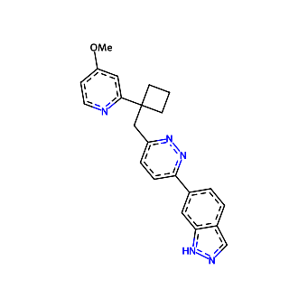 COc1ccnc(C2(Cc3ccc(-c4ccc5cn[nH]c5c4)nn3)CCC2)c1